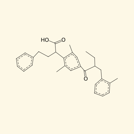 CCC(Cc1ccccc1C)C(=O)c1cc(C)c(C(CCc2ccccc2)C(=O)O)c(C)c1